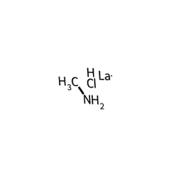 CN.Cl.[La]